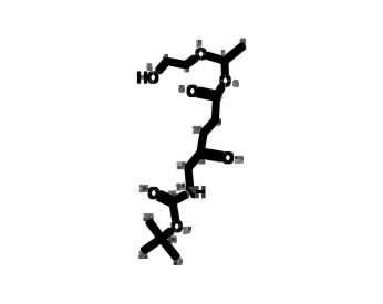 CC(OCCO)OC(=O)CCC(=O)CNC(=O)OC(C)(C)C